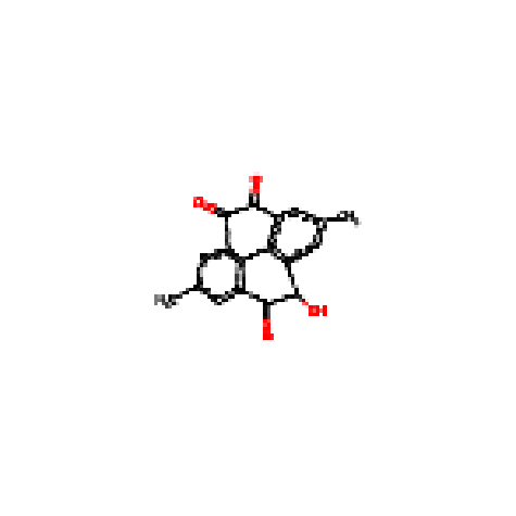 Cc1cc2c3c(c1)C(=O)C(O)c1cc(C)cc(c1-3)C(=O)C2=O